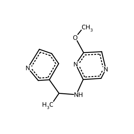 COc1cncc(NC(C)c2cccnc2)n1